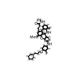 COc1cc(CCC(=O)NC(C)C)ccc1Oc1nc(Nc2ccc(OCCCN3CCCCC3)c(F)c2)ncc1C(=O)Nc1c(C)cccc1C